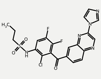 CCCS(=O)(=O)Nc1cc(F)c(F)c(C(=O)c2ccc3ncc(-n4ccnc4)nc3c2)c1Cl